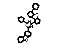 C1=CCC(c2cccc3c2oc2cccc(-c4nc(-c5ccccc5)nc(-c5ccc6oc7ccccc7c6c5)n4)c23)C=C1